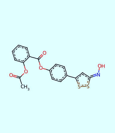 CC(=O)Oc1ccccc1C(=O)Oc1ccc(-c2c/c(=N\O)ss2)cc1